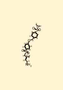 CN(C)S(=O)(=O)c1ccc(COc2ccc(S(=O)(=O)C/C(F)=C/CN)cc2)cc1